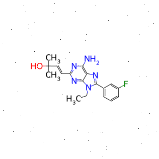 CCn1c(-c2cccc(F)c2)nc2c(N)nc(C=CC(C)(C)O)nc21